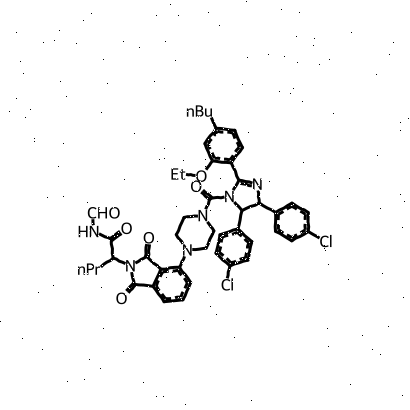 CCCCc1ccc(C2=NC(c3ccc(Cl)cc3)C(c3ccc(Cl)cc3)N2C(=O)N2CCN(c3cccc4c3C(=O)N(C(CCC)C(=O)NC=O)C4=O)CC2)c(OCC)c1